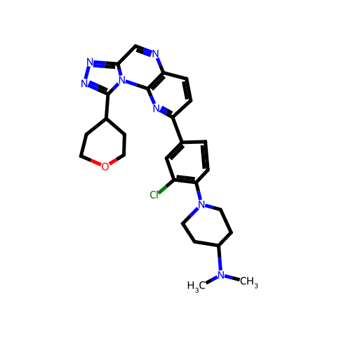 CN(C)C1CCN(c2ccc(-c3ccc4ncc5nnc(C6CCOCC6)n5c4n3)cc2Cl)CC1